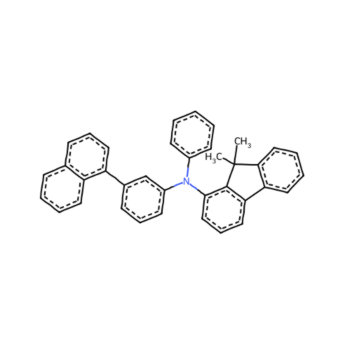 CC1(C)c2ccccc2-c2cccc(N(c3ccccc3)c3cccc(-c4cccc5ccccc45)c3)c21